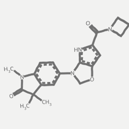 CN1C(=O)C(C)(C)c2cc(N3COc4cc(C(=O)N5CCC5)[nH]c43)ccc21